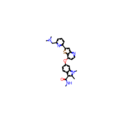 CNC(=O)c1c(C)n(C)c2cc(Oc3ccnc4cc(-c5cccc(CN(C)C)n5)sc34)ccc12